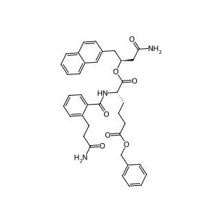 NC(=O)CCc1ccccc1C(=O)N[C@@H](CCCC(=O)OCc1ccccc1)C(=O)O[C@H](CC(N)=O)Cc1ccc2ccccc2c1